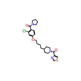 O=C(c1cscn1)N1CCC(CCCCOc2ccc(C(=O)N3CCCC3)c(Cl)c2)CC1